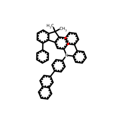 CC1(C)c2ccc(N(c3ccc(-c4ccc5ccccc5c4)cc3)c3ccccc3-c3ccccc3)cc2-c2c(-c3ccccc3)cccc21